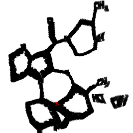 Cc1ccc(F)cc1Sc1c(C(=O)N2CCNC(C)C2)c2ncccc2n1-c1ccccc1.Cl.Cl